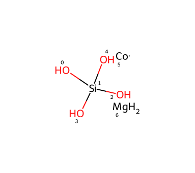 O[Si](O)(O)O.[Co].[MgH2]